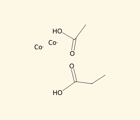 CC(=O)O.CCC(=O)O.[Co].[Co]